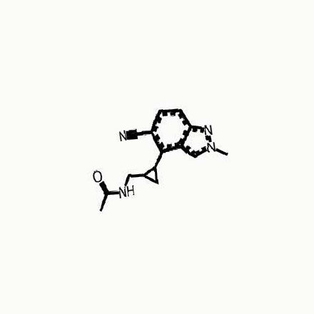 CC(=O)NCC1CC1c1c(C#N)ccc2nn(C)cc12